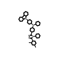 Cc1ccc(-c2nnc(-c3ccc(N(c4ccccc4)c4ccc(-n5c6ccccc6c6ccccc65)cc4)cc3)n2-c2ccccc2)c(C)c1